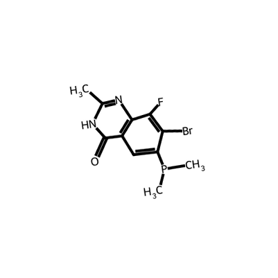 Cc1nc2c(F)c(Br)c(P(C)C)cc2c(=O)[nH]1